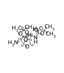 CC(C)(C)OC(=O)NCC12COC(O1)[C@H](N)C1OC(C)(C)O[C@H]12